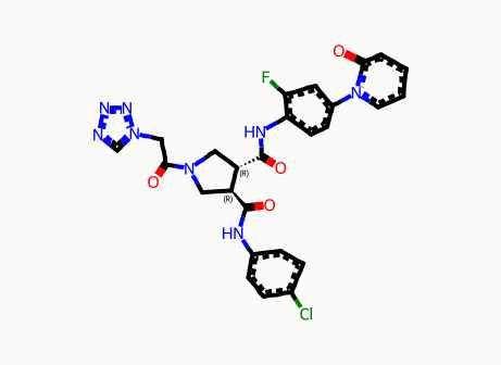 O=C(Nc1ccc(Cl)cc1)[C@H]1CN(C(=O)Cn2cnnn2)C[C@@H]1C(=O)Nc1ccc(-n2ccccc2=O)cc1F